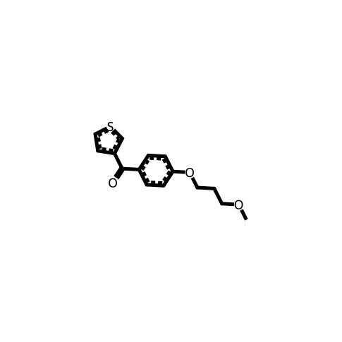 COCCCOc1ccc(C(=O)c2ccsc2)cc1